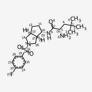 CC(C)(C)C[C@H](N)C(=O)N[C@H]1CC[C@@H]2CN(S(=O)(=O)c3ccc(F)cc3)C[C@@H]21